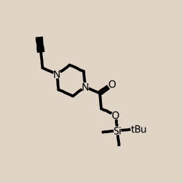 C#CCN1CCN(C(=O)CO[Si](C)(C)C(C)(C)C)CC1